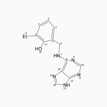 CCc1cccc(CNc2ncnc3[nH]cnc23)c1O